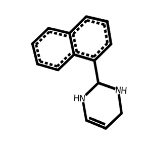 C1=CNC(c2cccc3ccccc23)NC1